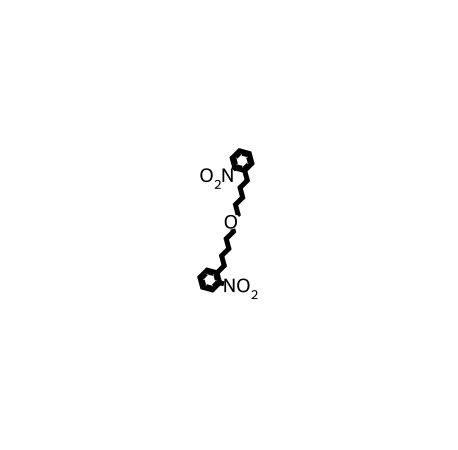 O=[N+]([O-])c1ccccc1CCCCCOCCCCCc1ccccc1[N+](=O)[O-]